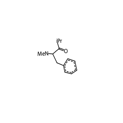 CNC(Cc1ccccc1)C(=O)C(C)C